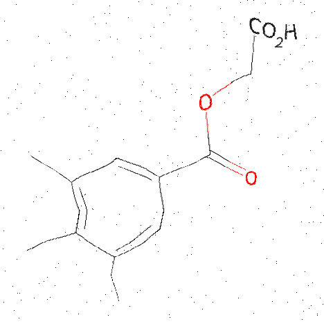 Cc1cc(C(=O)OCC(=O)O)cc(C)c1C